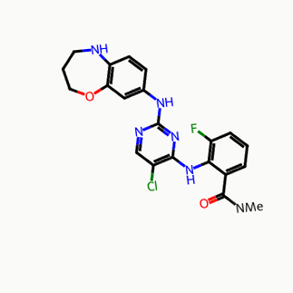 CNC(=O)c1cccc(F)c1Nc1nc(Nc2ccc3c(c2)OCCCN3)ncc1Cl